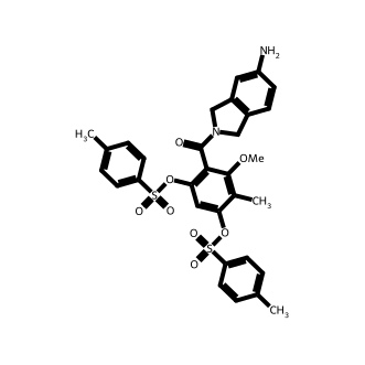 COc1c(C)c(OS(=O)(=O)c2ccc(C)cc2)cc(OS(=O)(=O)c2ccc(C)cc2)c1C(=O)N1Cc2ccc(N)cc2C1